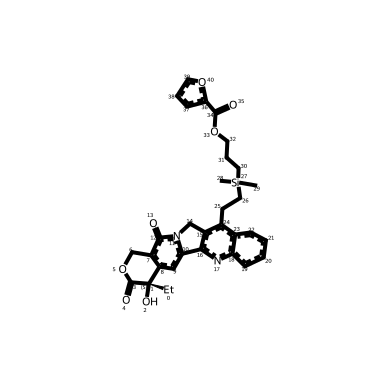 CC[C@@]1(O)C(=O)OCc2c1cc1n(c2=O)Cc2c-1nc1ccccc1c2CC[Si](C)(C)CCCOC(=O)c1ccco1